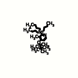 CCC[CH2][Sn]([CH2]CCC)([CH2]CCC)[c]1nccc(O[Si](C)(C)C(C)(C)C)c1C